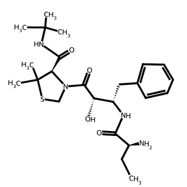 CC[C@H](N)C(=O)N[C@@H](Cc1ccccc1)[C@H](O)C(=O)N1CSC(C)(C)[C@H]1C(=O)NC(C)(C)C